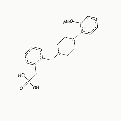 COc1ccccc1N1CCN(Cc2ccccc2CP(=O)(O)O)CC1